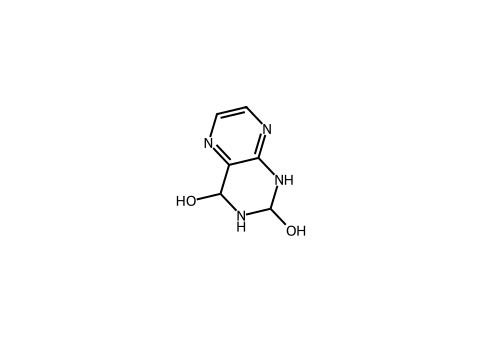 OC1Nc2nccnc2C(O)N1